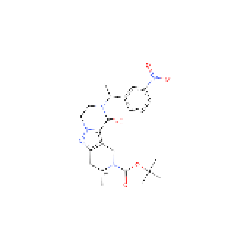 CC(c1cccc([N+](=O)[O-])c1)N1CCn2nc3c(c2C1=O)CN(C(=O)OC(C)(C)C)[C@H](C)C3